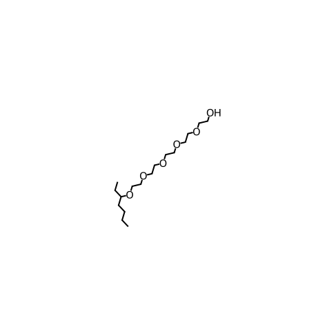 CCCCC(CC)OCCOCCOCCOCCOCCO